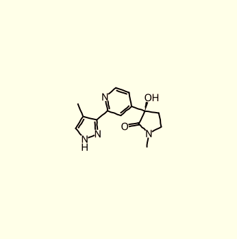 Cc1c[nH]nc1-c1cc([C@]2(O)CCN(C)C2=O)ccn1